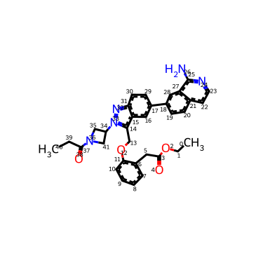 CCOC(=O)Cc1ccccc1OCc1c2cc(-c3ccc4ccnc(N)c4c3)ccc2nn1C1CN(C(=O)CC)C1